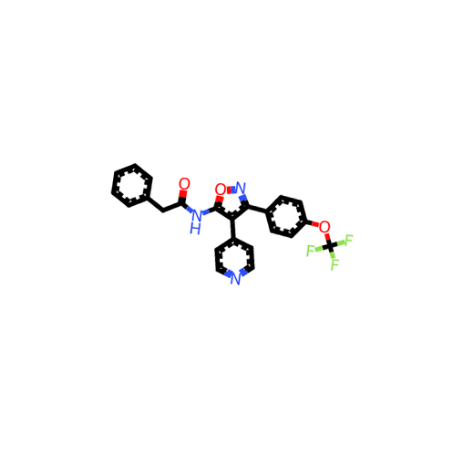 O=C(Cc1ccccc1)Nc1onc(-c2ccc(OC(F)(F)F)cc2)c1-c1ccncc1